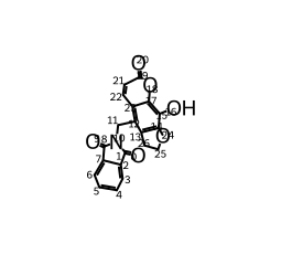 O=C1c2ccccc2C(=O)N1Cc1c2c(c(O)c3oc(=O)ccc13)OCC2